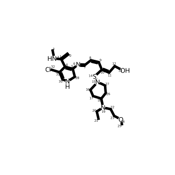 C=C(NC)C1=C(/N=C/C=C\C(=C/CO)SN2CCC(N(CC)CCOC)CC2)CNC=C1Cl